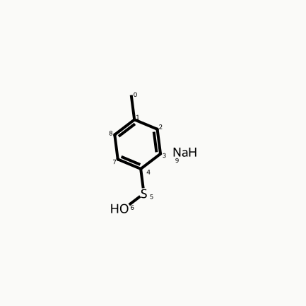 Cc1ccc(SO)cc1.[NaH]